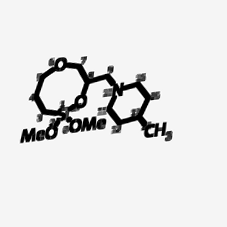 CO[Si]1(OC)CCCOCC(CN2CCC(C)CC2)O1